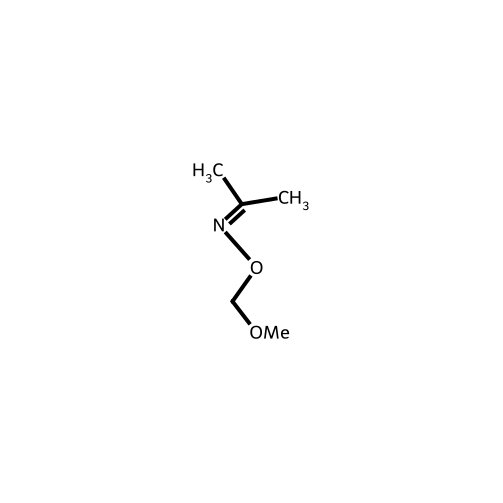 COCON=C(C)C